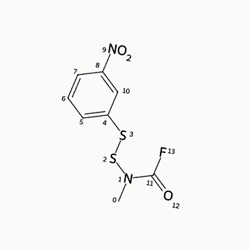 CN(SSc1cccc([N+](=O)[O-])c1)C(=O)F